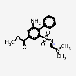 COC(=O)c1cc(N)c(-c2ccccc2)c(S(=O)(=O)/N=C/N(C)C)c1